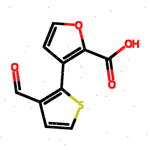 O=Cc1ccsc1-c1ccoc1C(=O)O